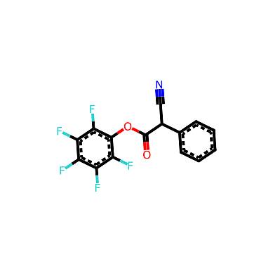 N#CC(C(=O)Oc1c(F)c(F)c(F)c(F)c1F)c1ccccc1